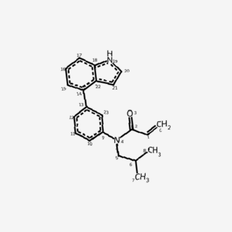 C=CC(=O)N(CC(C)C)c1cccc(-c2cccc3[nH]ccc23)c1